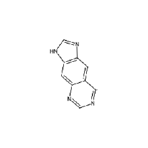 [c]1ncnc2cc3[nH]cnc3cc12